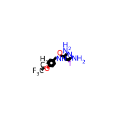 CC(Oc1ccc(CNC(=O)c2cc(I)c(N)nc2N)cc1)C(F)(F)F